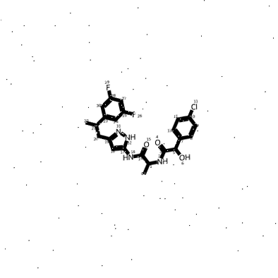 CC(NC(=O)C(O)c1ccc(Cl)cc1)C(=O)Nc1cc(CC(C)c2cc(F)cc(F)c2)n[nH]1